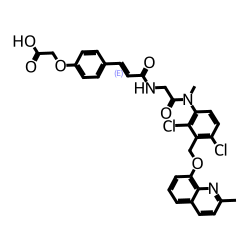 Cc1ccc2cccc(OCc3c(Cl)ccc(N(C)C(=O)CNC(=O)/C=C/c4ccc(OCC(=O)O)cc4)c3Cl)c2n1